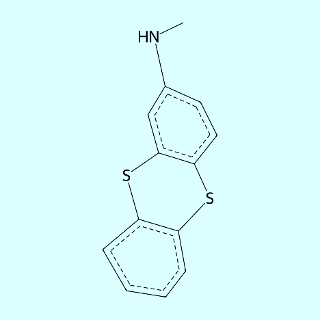 CNc1ccc2c(c1)Sc1ccccc1S2